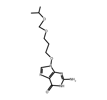 CC(C)OCOCCCOn1cnc2c(=O)[nH]c(N)nc21